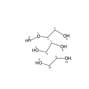 CCCOCCO.OCCO.OCCO